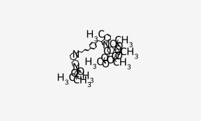 CC(=O)OC[C@H]1O[C@@H](n2cc(Cc3ccc(/C=C/CCN4CCCC5(CCN(C(=O)OC(C)(C)C)CC5)C4)cc3)c3c(C)cccc32)[C@H](OC(C)=O)[C@@H](OC(C)=O)[C@@H]1OC(C)=O